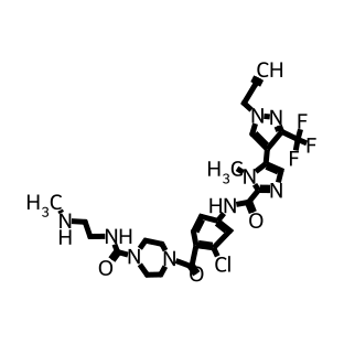 C#CCn1cc(-c2cnc(C(=O)Nc3ccc(C(=O)N4CCN(C(=O)NCCNC)CC4)c(Cl)c3)n2C)c(C(F)(F)F)n1